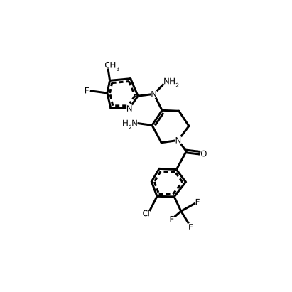 Cc1cc(N(N)C2=C(N)CN(C(=O)c3ccc(Cl)c(C(F)(F)F)c3)CC2)ncc1F